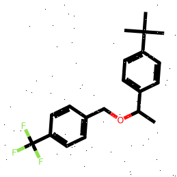 CC(OCc1ccc(C(F)(F)F)cc1)c1ccc(C(C)(C)C)cc1